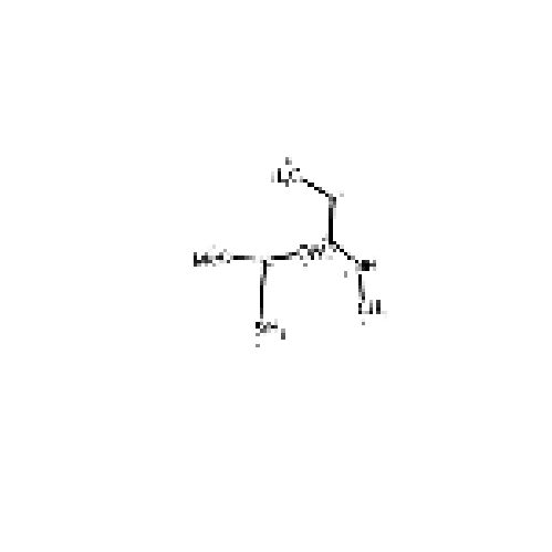 CCCNC.COC([SiH3])OC